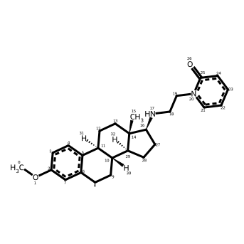 COc1ccc2c(c1)CC[C@@H]1[C@@H]2CC[C@]2(C)[C@@H](NCCn3ccccc3=O)CC[C@@H]12